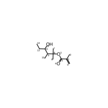 C=C(C)C(=O)OC(C)(C)C(C)C(O)CC